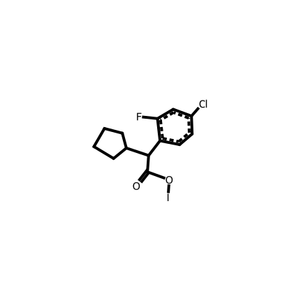 O=C(OI)C(c1ccc(Cl)cc1F)C1CCCC1